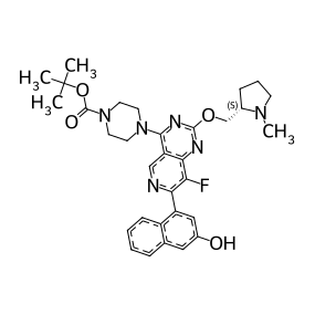 CN1CCC[C@H]1COc1nc(N2CCN(C(=O)OC(C)(C)C)CC2)c2cnc(-c3cc(O)cc4ccccc34)c(F)c2n1